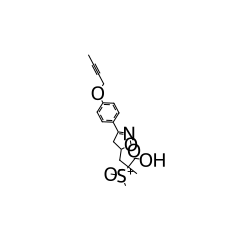 CC#CCOc1ccc(C2=NOC(CC(C)(C(=O)O)[S+](C)[O-])C2)cc1